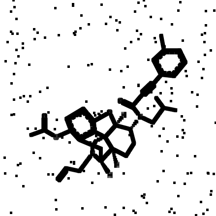 C=CCN1CC[C@@]23c4c5ccc(OC(C)=O)c4C[C@@H]1[C@@H]2CC[C@@H](N(CC(C)C)C(=O)C#Cc1cccc(C)c1)[C@@H]3O5